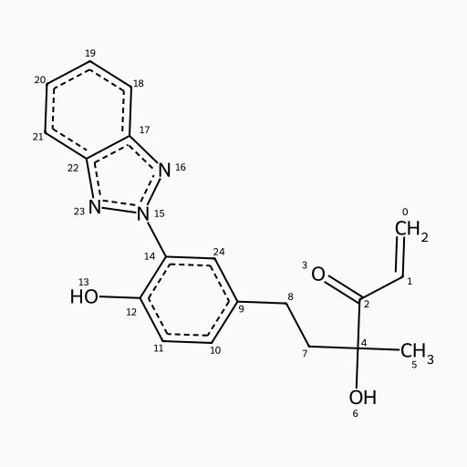 C=CC(=O)C(C)(O)CCc1ccc(O)c(-n2nc3ccccc3n2)c1